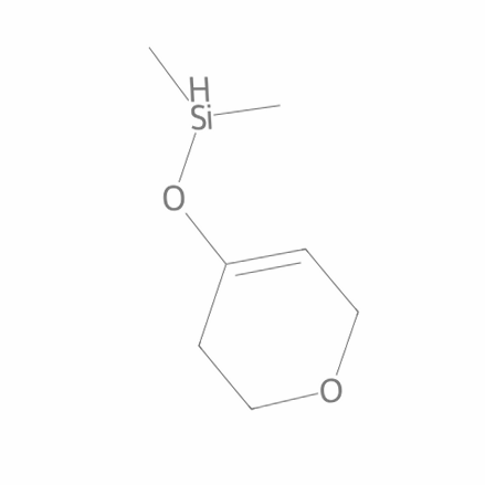 C[SiH](C)OC1=CCOCC1